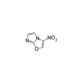 O=[N+]([O-])c1coc2nccn12